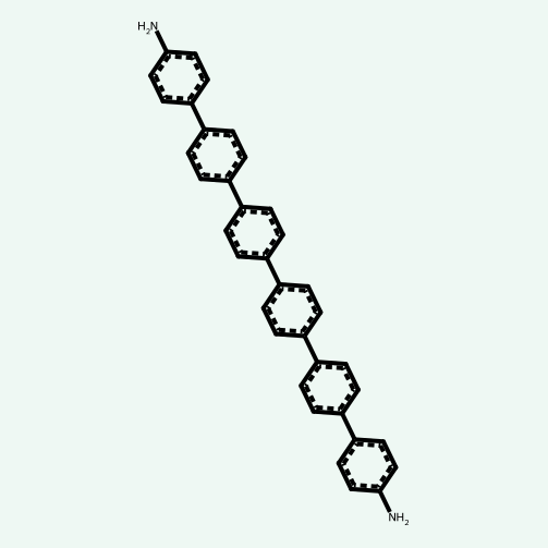 Nc1ccc(-c2ccc(-c3ccc(-c4ccc(-c5ccc(-c6ccc(N)cc6)cc5)cc4)cc3)cc2)cc1